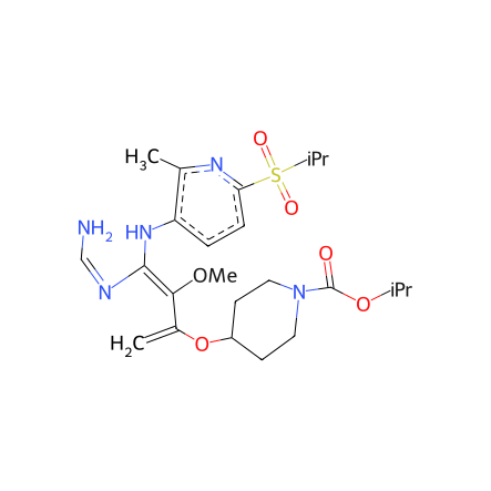 C=C(OC1CCN(C(=O)OC(C)C)CC1)/C(OC)=C(\N=C/N)Nc1ccc(S(=O)(=O)C(C)C)nc1C